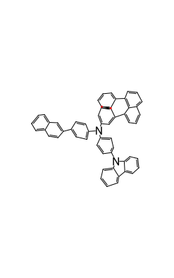 c1ccc(-c2cccc3cccc(-c4cccc(N(c5ccc(-c6ccc7ccccc7c6)cc5)c5ccc(-n6c7ccccc7c7ccccc76)cc5)c4)c23)cc1